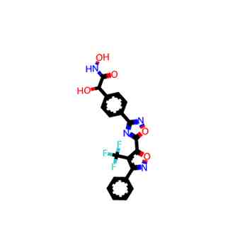 O=C(NO)C(O)c1ccc(-c2noc(-c3onc(-c4ccccc4)c3C(F)(F)F)n2)cc1